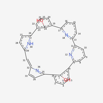 Oc1c2cccc1-c1cccc(n1)-c1cccc(n1)-c1cccc(c1O)-c1ccc([nH]1)/C=C1/C=CC2=N1